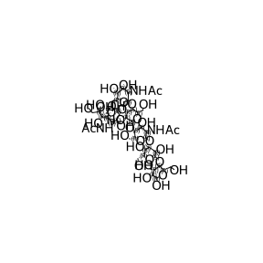 CC(=O)N[C@H]1[C@H](O[C@H]2[C@@H](O)[C@@H](CO)O[C@@H](O[C@H]3[C@H](O)[C@@H](O)[C@H](O)O[C@@H]3CO)[C@@H]2O)O[C@H](CO)[C@@H](O[C@@H]2O[C@H](CO)[C@H](O[C@@H]3O[C@H](CO)[C@H](O)[C@H](O)[C@H]3NC(C)=O)[C@H](O[C@]3(C(=O)O)C[C@H](O)[C@@H](NC(C)=O)[C@H]([C@H](O)[C@H](O)CO)O3)[C@H]2O)[C@@H]1O